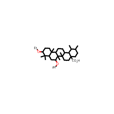 CCOC1CCC2(C)C(CC(OC(C)C)C3(C)C2CCC2C4C(C)C(C)CCC4(C(=O)O)CCC23C)C1(C)C